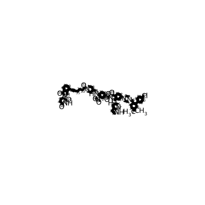 CC1(C)CCC(CN2CCN(c3ccc(C(=O)NS(=O)(=O)c4ccc(NCC5CCN(C(=O)CCCC#Cc6cccc7c6CN(C6CCC(=O)NC6=O)C7=O)CC5)c([N+](=O)[O-])c4)c(Oc4cnc5[nH]ccc5c4)c3)CC2)=C(c2ccc(Cl)cc2)C1